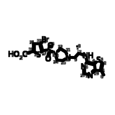 Cc1csc2c(N[C@@H](C)CN3CCN(S(=O)(=O)c4sc(C(=O)O)cc4Br)CC3)ncnc12